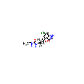 CCNC(=O)N[C@@H]1[C@@H]2C[C@@](O)(c3cc(Cl)cc4[nH]ncc34)C[C@@H]21